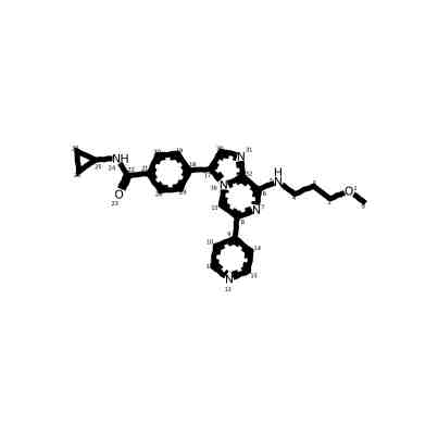 COCCCNc1nc(-c2ccncc2)cn2c(-c3ccc(C(=O)NC4CC4)cc3)cnc12